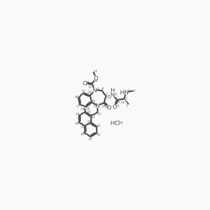 CN[C@@H](C)C(=O)N[C@H]1CN(C(=O)OC)c2ccccc2N(Cc2c(C)ccc3ccccc23)C1=O.Cl